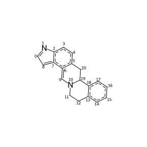 C1=Nc2ccc3c(c2=C1)=CN1CCc2ccccc2C1C3